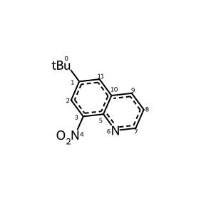 CC(C)(C)c1cc([N+](=O)[O-])c2ncccc2c1